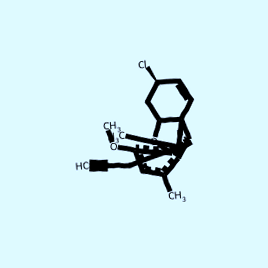 C#CCC1(C)CCC23C=C[C@H](Cl)CC2Oc2c(OC)cc(C)c(c23)C1